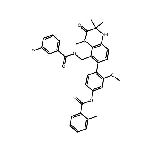 COc1cc(OC(=O)c2ccccc2C)ccc1-c1ccc2c(c1COC(=O)c1cccc(F)c1)N(C)C(=O)C(C)(C)N2